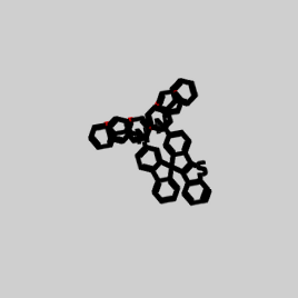 c1ccc2c3c(sc2c#1)-c1ccc(N(c2ccccc2)c2ccc(-c4ccccc4)cc2)cc1C31c2ccccc2-c2ccc(N(c3ccccc3)c3ccc(-c4ccccc4)cc3)cc21